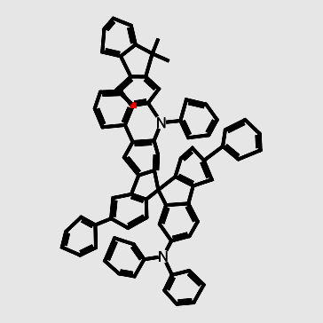 CC1(C)c2ccccc2-c2ccc(N(c3ccccc3)c3cc4c(cc3-c3ccccc3)-c3cc(-c5ccccc5)ccc3C43c4ccc(-c5ccccc5)cc4-c4ccc(N(c5ccccc5)c5ccccc5)cc43)cc21